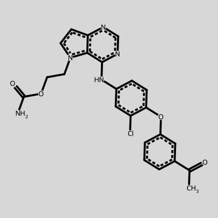 CC(=O)c1cccc(Oc2ccc(Nc3ncnc4ccn(CCOC(N)=O)c34)cc2Cl)c1